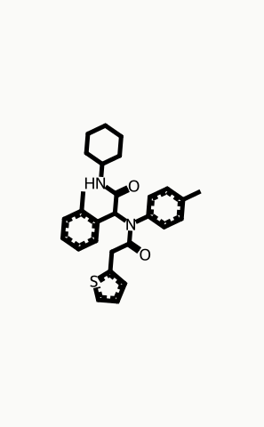 Cc1ccc(N(C(=O)Cc2cccs2)C(C(=O)NC2CCCCC2)c2ccccc2C)cc1